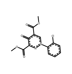 COC(=O)c1cn(-c2ccccc2Cl)nc(C(=O)OC)c1=O